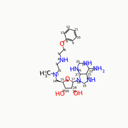 CN(CCNCCOc1ccccc1)C[C@H]1O[C@@H](N2CNC3C(N)NCNC32)[C@H](O)[C@@H]1O